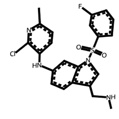 CNCc1cn(S(=O)(=O)c2cccc(F)c2)c2cc(Nc3ccc(C)nc3Cl)ccc12